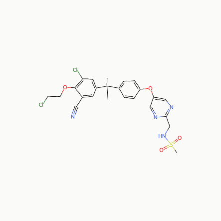 CC(C)(c1ccc(Oc2cnc(CNS(C)(=O)=O)nc2)cc1)c1cc(Cl)c(OCCCl)c(C#N)c1